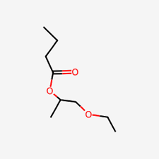 CCCC(=O)OC(C)COCC